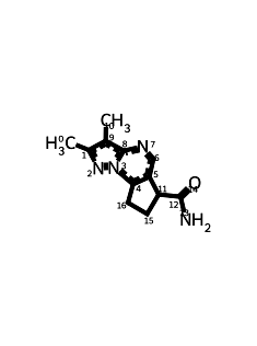 Cc1nn2c3c(cnc2c1C)C(C(N)=O)CC3